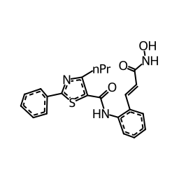 CCCc1nc(-c2ccccc2)sc1C(=O)Nc1ccccc1/C=C/C(=O)NO